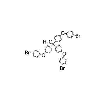 CC(c1ccc(Oc2ccc(Br)cc2)cc1)(c1ccc(Oc2ccc(Br)cc2)cc1)c1ccc(Oc2ccc(Br)cc2)cc1